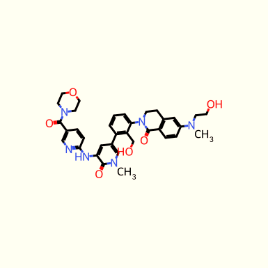 CN(CCO)c1ccc2c(c1)CCN(c1cccc(-c3cc(Nc4ccc(C(=O)N5CCOCC5)cn4)c(=O)n(C)c3)c1CO)C2=O